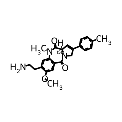 COc1cc2c(cc1CCN)N(C)C(=O)[C@@H]1C=C(c3ccc(C)cc3)CN1C2=O